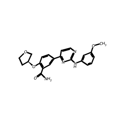 COc1cccc(Nc2nccc(-c3ccc(O[C@H]4CCOC4)c(C(N)=O)c3)n2)c1